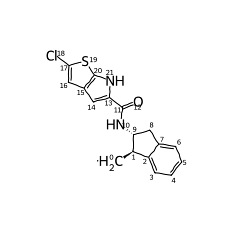 [CH2][C@@H]1c2ccccc2C[C@H]1NC(=O)c1cc2cc(Cl)sc2[nH]1